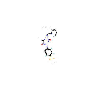 Cc1cccnc1CN1C(=O)N(c2cc(F)c(S(C)(=O)=O)c(F)c2F)C(=O)C1C